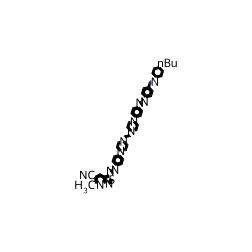 CCCCC1CCC(/N=C/c2ccc(N=Nc3ccc(N4CCN(CCN5CCN(c6ccc(N=Nc7snc8nc(C)c(C#N)cc78)cc6)CC5)CC4)cc3)cc2)CC1